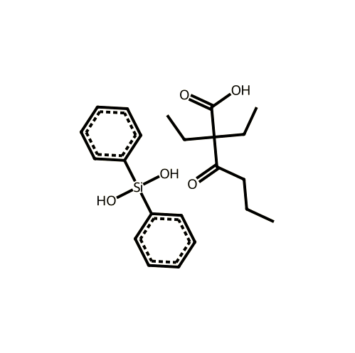 CCCC(=O)C(CC)(CC)C(=O)O.O[Si](O)(c1ccccc1)c1ccccc1